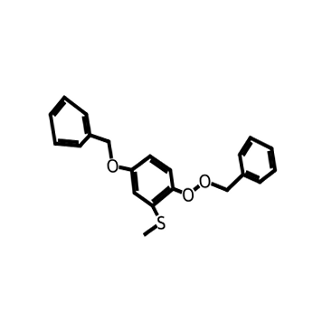 CSc1cc(OCc2ccccc2)ccc1OOCc1ccccc1